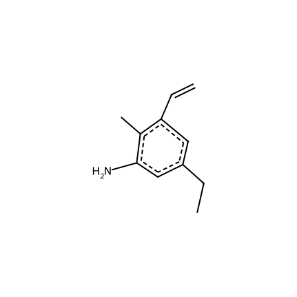 C=Cc1cc(CC)cc(N)c1C